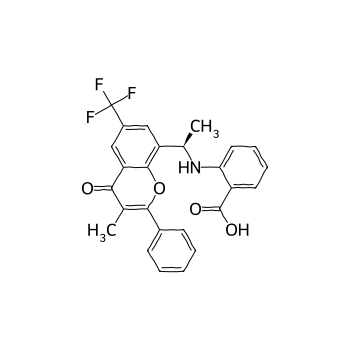 Cc1c(-c2ccccc2)oc2c([C@@H](C)Nc3ccccc3C(=O)O)cc(C(F)(F)F)cc2c1=O